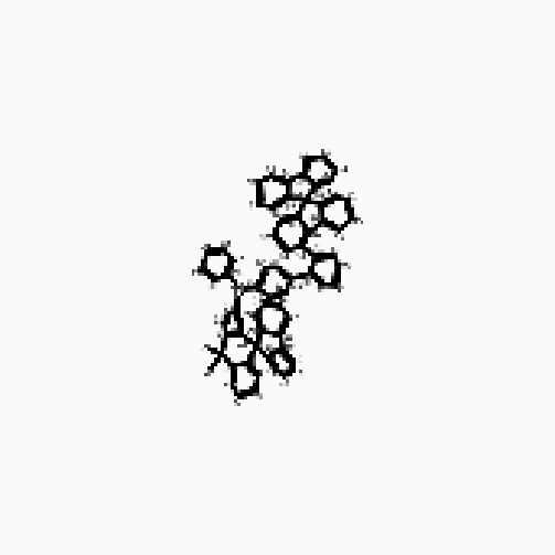 CC1(C)c2ccccc2C2(c3ccccc3-c3ccccc32)c2cc(N(c3ccccc3)c3ccc(-c4ccccc4-c4cccc5c4-c4ccccc4C54c5ccccc5-c5ccccc54)cc3)ccc21